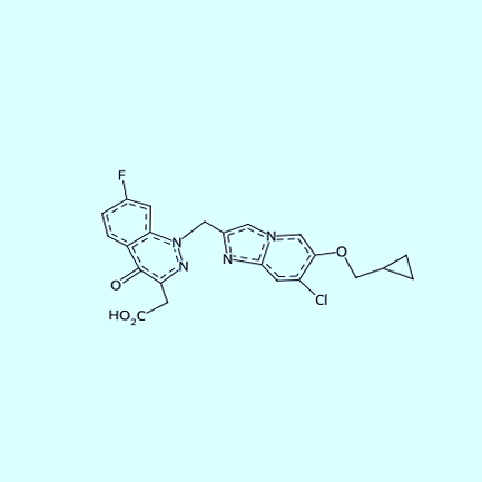 O=C(O)Cc1nn(Cc2cn3cc(OCC4CC4)c(Cl)cc3n2)c2cc(F)ccc2c1=O